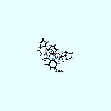 COc1cc(C)c(S(=O)(=O)N2CCn3cccc3C2COCC(=O)N2C3CCC2CC(Oc2ccncc2)C3)c(C)c1